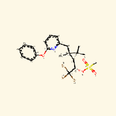 CC1(C)[C@H]([C@H](OS(C)(=O)=O)C(Br)(Br)Br)[C@]1(C#N)Cc1cccc(Oc2ccccc2)n1